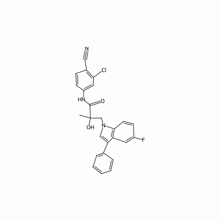 CC(O)(Cn1cc(-c2ccccc2)c2cc(F)ccc21)C(=O)Nc1ccc(C#N)c(Cl)c1